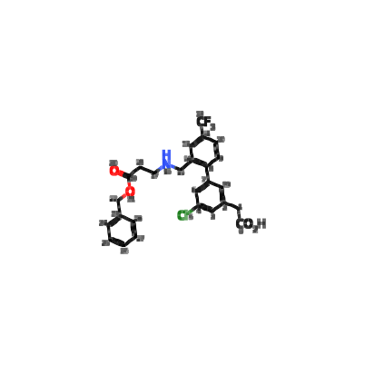 O=C(O)Cc1cc(Cl)cc(-c2ccc(C(F)(F)F)cc2CNCCC(=O)OCc2ccccc2)c1